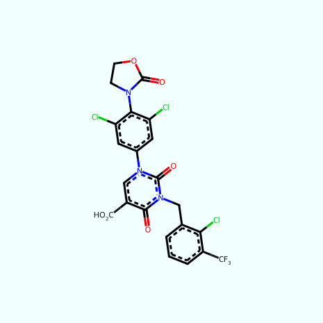 O=C(O)c1cn(-c2cc(Cl)c(N3CCOC3=O)c(Cl)c2)c(=O)n(Cc2cccc(C(F)(F)F)c2Cl)c1=O